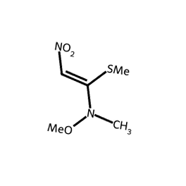 CON(C)C(=C[N+](=O)[O-])SC